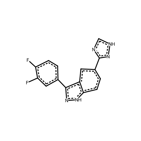 Fc1ccc(-c2n[nH]c3ccc(-c4nc[nH]n4)cc23)cc1F